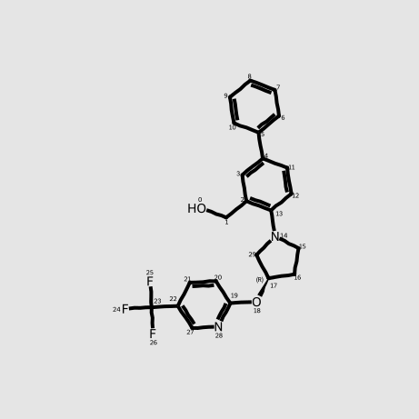 OCc1cc(-c2ccccc2)ccc1N1CC[C@@H](Oc2ccc(C(F)(F)F)cn2)C1